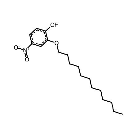 CCCCCCCCCCCCOc1cc([N+](=O)[O-])ccc1O